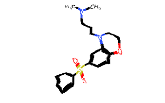 CN(C)CCCN1CCOc2ccc(S(=O)(=O)c3ccccc3)cc21